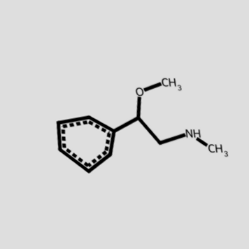 CNCC(OC)c1ccccc1